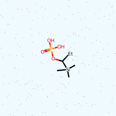 CCC(OP(=O)(O)O)[Si](C)(C)C